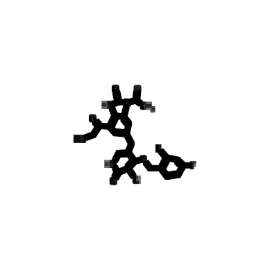 CC(=O)n1c(=O)[nH]c2c(C(=O)CO)cc(Cc3c[nH]c(=O)c(Cl)c3OCc3ccc(F)cc3F)cc21